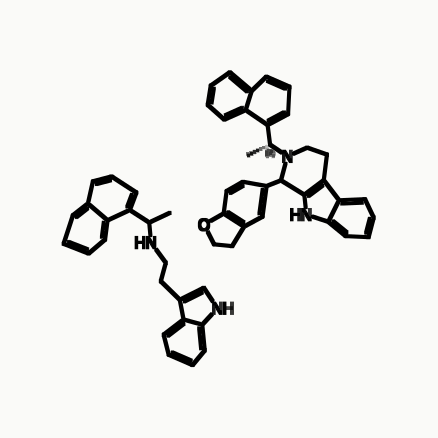 CC(NCCc1c[nH]c2ccccc12)c1cccc2ccccc12.C[C@H](c1cccc2ccccc12)N1CCc2c([nH]c3ccccc23)C1c1ccc2c(c1)CCO2